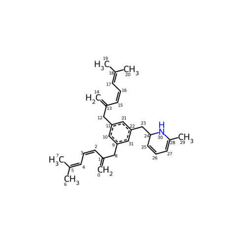 C=C(/C=C\C=C(C)C)Cc1cc(CC(=C)/C=C\C=C(C)C)cc(CC2C=CC=C(C)N2)c1